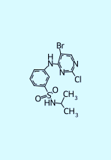 CC(C)NS(=O)(=O)c1cccc(Nc2nc(Cl)ncc2Br)c1